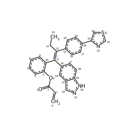 C=CC(=O)Oc1ccccc1/C(=C(\CC)c1ccc(-c2cscn2)cc1)c1ccc2[nH]ncc2c1